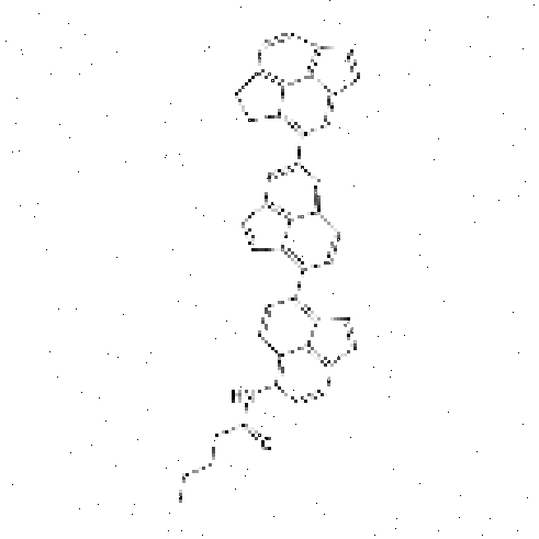 CCCCC(=O)Nc1ccc2c3c(c(-c4ccc5cc(-c6cc7c8c(ccc9c8c6CC9)C=C7)cc6c5c4C=C6)ccc13)C=C2